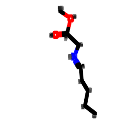 CCCCC=NCC(=O)OC